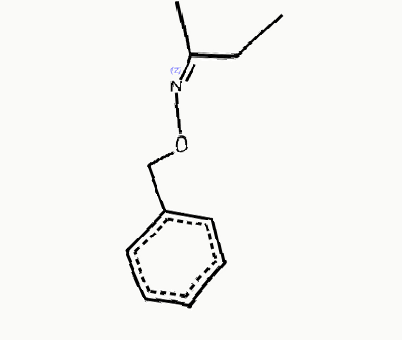 CC/C(C)=N\OCc1ccccc1